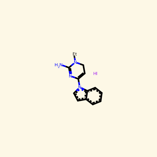 CCN1CC=C(n2ccc3ccccc32)N=C1N.I